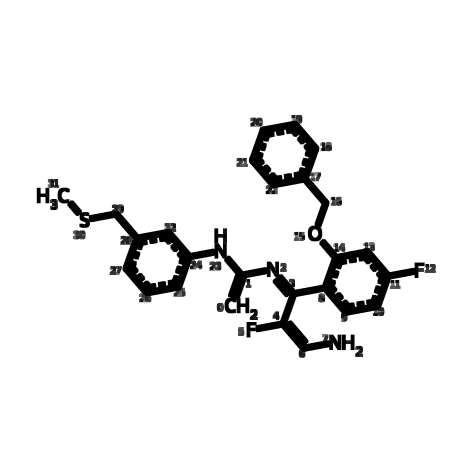 C=C(/N=C(\C(F)=C/N)c1ccc(F)cc1OCc1ccccc1)Nc1cccc(CSC)c1